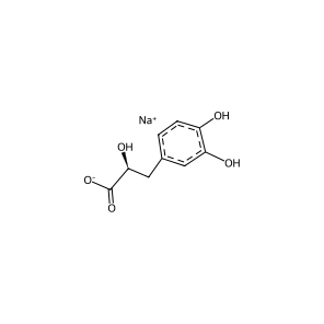 O=C([O-])[C@@H](O)Cc1ccc(O)c(O)c1.[Na+]